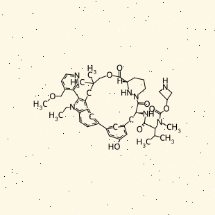 CCn1c(-c2cnccc2COC)c2c3cc(ccc31)-c1cc(O)cc(c1)C[C@H](NC(=O)C(C(C)C)N(C)C(=O)OC1CNC1)C(=O)N1CCC[C@H](N1)C(=O)OCC(C)(C)C2